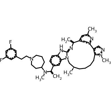 C=C1/N=C2\Nc3ccc(C(=C)N(C)C4CCCN(CCc5cc(F)cc(F)c5)CC4)cc3N2C[C@H](C)CCCCc2c(cnn2C)-c2cc1cc(C)n2